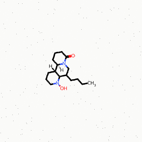 CCCCC1CN2C(=O)CCC[C@@H]2[C@H]2CCCN(O)C12